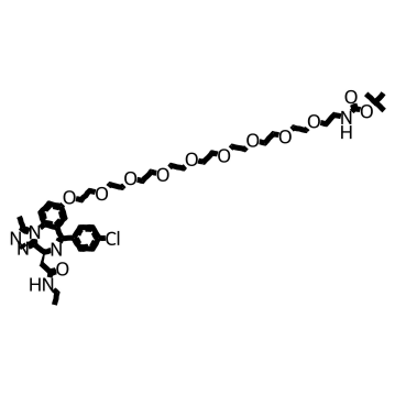 CCNC(=O)C[C@@H]1N=C(c2ccc(Cl)cc2)c2cc(OCCOCCOCCOCCOCCOCCOCCOCCOCCNC(=O)OC(C)(C)C)ccc2-n2c(C)nnc21